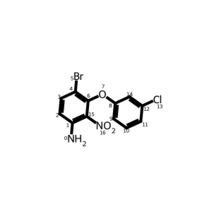 Nc1ccc(Br)c(Oc2cccc(Cl)c2)c1[N+](=O)[O-]